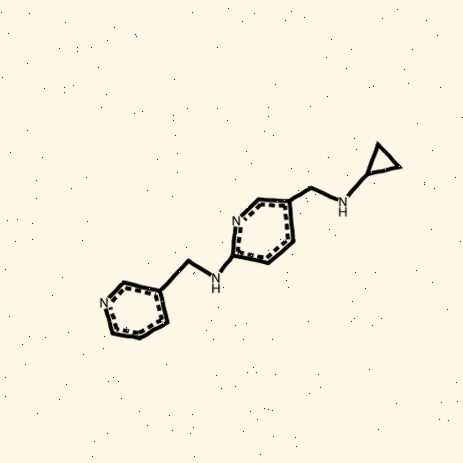 c1cncc(CNc2ccc(CNC3CC3)cn2)c1